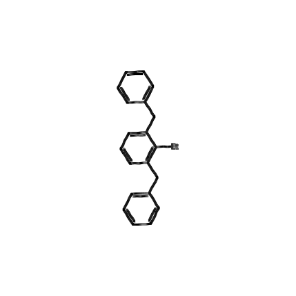 CCc1c(Cc2ccccc2)cccc1Cc1ccccc1